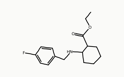 CCOC(=O)C1CCCCC1NCc1ccc(F)cc1